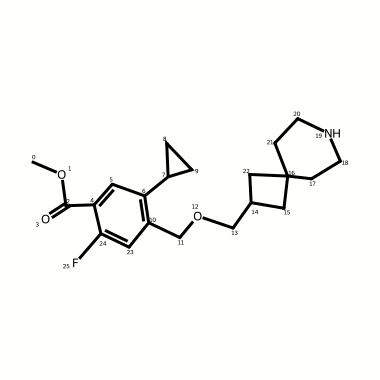 COC(=O)c1cc(C2CC2)c(COCC2CC3(CCNCC3)C2)cc1F